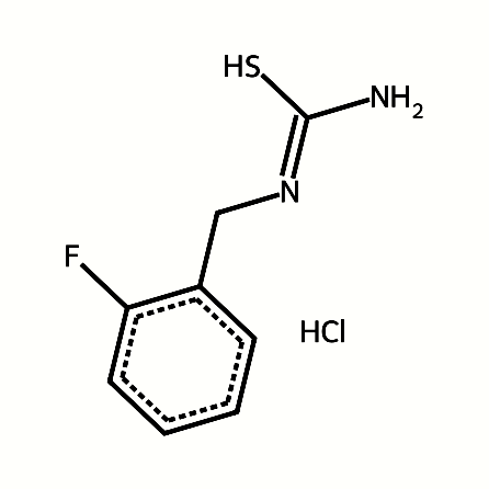 Cl.NC(S)=NCc1ccccc1F